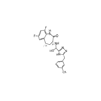 C[C@H]1C[C@@H](NC(O)c2nnc(Cc3cccc(C#N)c3)[nH]2)C(=O)Nc2c(F)cc(F)cc21